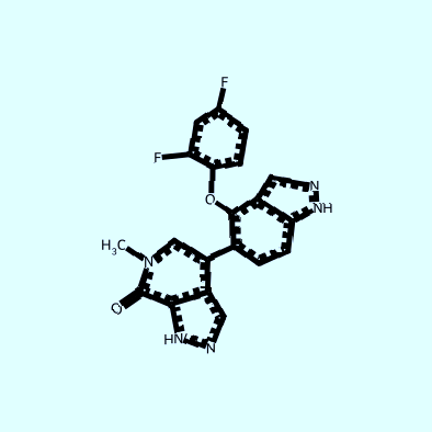 Cn1cc(-c2ccc3[nH]ncc3c2Oc2ccc(F)cc2F)c2cn[nH]c2c1=O